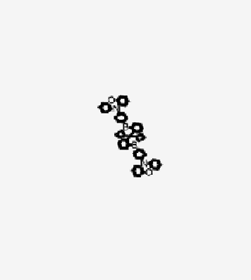 C1=CC2B(c3ccc(N4c5ccccc5Oc5ccccc54)cc3)c3ccccc3C3(c4ccccc4B(c4ccc(N5c6ccccc6Oc6ccccc65)cc4)C4C=CC=CC43)C2C=C1